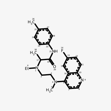 CCN(CCN(C)c1ccnc2ccc(F)cc12)C(C)C(=O)Nc1ccc(C)cc1